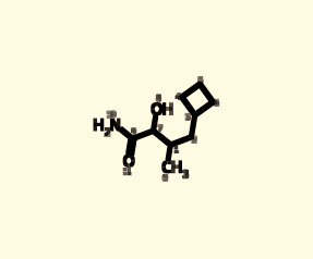 CC(CC1CCC1)C(O)C(N)=O